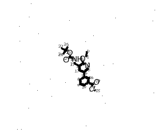 CCOc1ncc(-c2cccc(C(=O)OC)c2)cc1CNC(=O)OC(C)(C)C